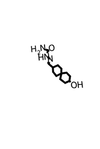 NC(=O)N/N=C/C1CCC2(CCC(O)CC2)CC1